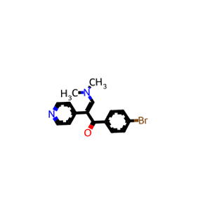 CN(C)C=C(C(=O)c1ccc(Br)cc1)c1ccncc1